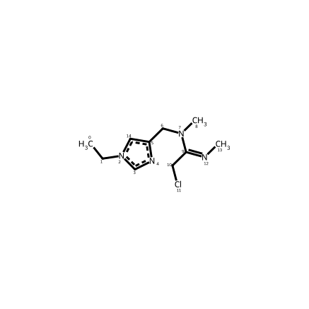 CCn1cnc(CN(C)/C(CCl)=N\C)c1